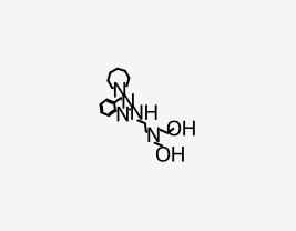 OCCN(CCO)CCCNc1nc(N2CCCCCCC2)c2ccccc2n1